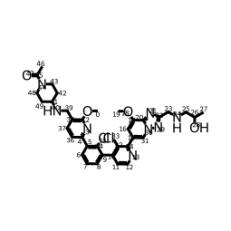 COc1nc(-c2cccc(-c3ccnc(-c4cc(OC)c5nc(CNCC(C)O)nn5c4)c3Cl)c2Cl)ccc1CNC1CCN(C(C)=O)CC1